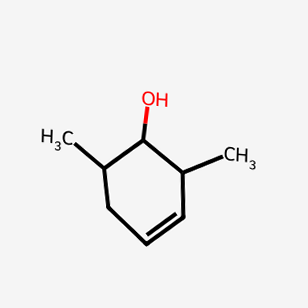 CC1C=CCC(C)C1O